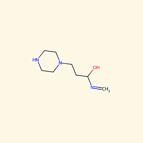 C=NC(O)CCN1CCNCC1